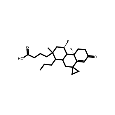 CCCC1C2CC3(CC3)C3=CC(=O)CC[C@]3(C)C2[C@@H](F)CC1(C)CCCC(=O)O